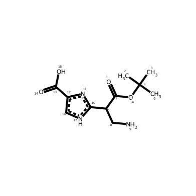 CC(C)(C)OC(=O)C(CN)c1nc(C(=O)O)c[nH]1